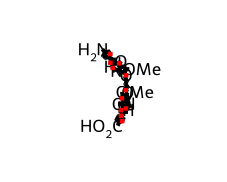 COc1cc2c(cc1OCCCCCOc1cc3c(cc1OC)C(=O)N1C=C(c4ccc(C(=O)O)cc4)C[C@H]1C=N3)N=C[C@@H]1CC(c3ccc(N)cc3)=CN1C2=O